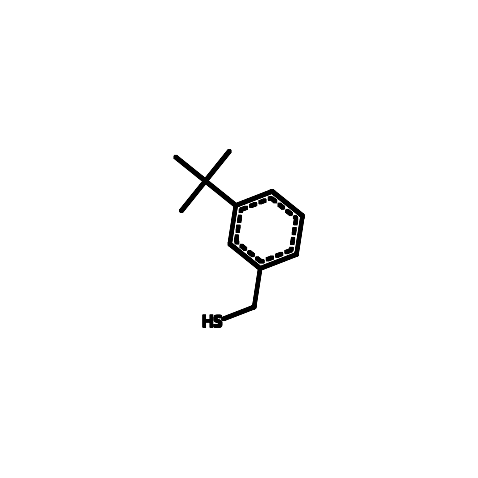 CC(C)(C)c1cccc(CS)c1